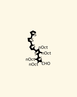 CCCCCCCCc1c(C=O)sc(-c2sc(-c3ccc(-c4ccc(-c5cccs5)s4)s3)c(CCCCCCCC)c2CCCCCCCC)c1CCCCCCCC